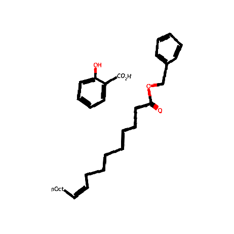 CCCCCCCC/C=C\CCCCCCCC(=O)OCc1ccccc1.O=C(O)c1ccccc1O